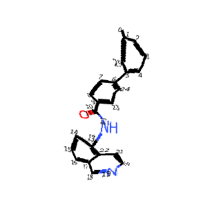 Cc1cccc(-c2ccc(C(=O)Nc3cccc4cnccc34)cc2)c1